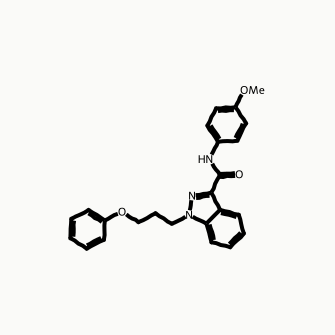 COc1ccc(NC(=O)c2nn(CCCOc3ccccc3)c3ccccc23)cc1